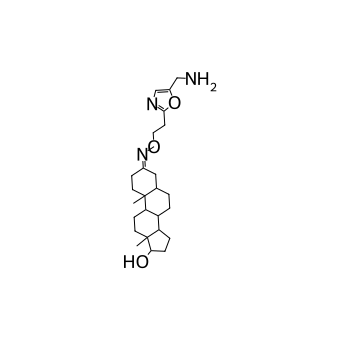 CC12CCC3C(CCC4CC(=NOCCc5ncc(CN)o5)CCC43C)C1CCC2O